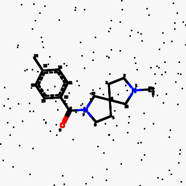 CCN1CCC2(CCN(C(=O)c3ccc(C)cc3)C2)C1